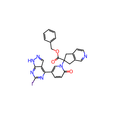 O=C(OCc1ccccc1)C1(n2cc(-c3nc(I)nc4[nH]ncc34)ccc2=O)Cc2ccncc2C1